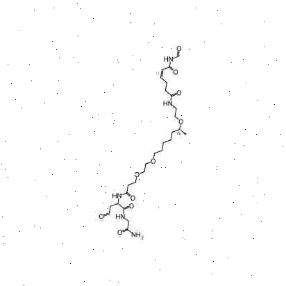 C[C@@H](CCCCCOCCOCCC(=O)NC(CC=O)C(=O)NCC(N)=O)OCCNC(=O)CC/C=C\C(=O)NC=O